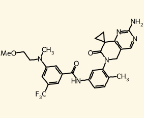 COCCN(C)c1cc(C(=O)Nc2ccc(C)c(N3Cc4cnc(N)nc4C4(CC4)C3=O)c2)cc(C(F)(F)F)c1